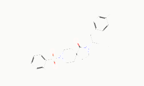 CC(Cc1ccc(F)cc1)N1CCC2(CCN(S(=O)(=O)c3ccccc3Cl)CC2)C1=O